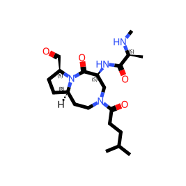 CN[C@@H](C)C(=O)N[C@H]1CN(C(=O)CCC(C)C)CC[C@H]2CC[C@@H](C=O)N2C1=O